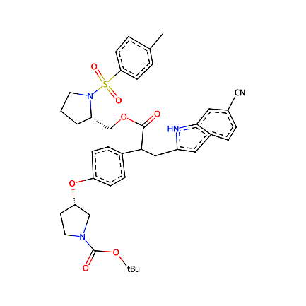 Cc1ccc(S(=O)(=O)N2CCC[C@H]2COC(=O)C(Cc2cc3ccc(C#N)cc3[nH]2)c2ccc(O[C@H]3CCN(C(=O)OC(C)(C)C)C3)cc2)cc1